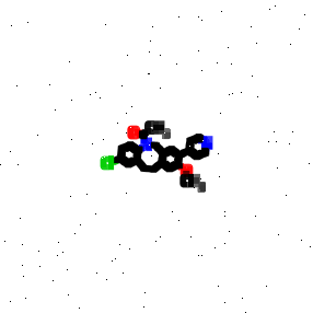 COc1cc2c(cc1-c1ccncc1)CN(C(C)=O)c1ccc(Cl)cc1CC2